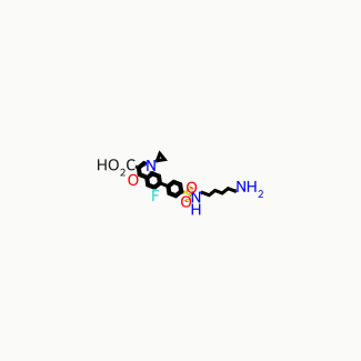 NCCCCCCNS(=O)(=O)c1ccc(-c2cc3c(cc2F)c(=O)c(C(=O)O)cn3C2CC2)cc1